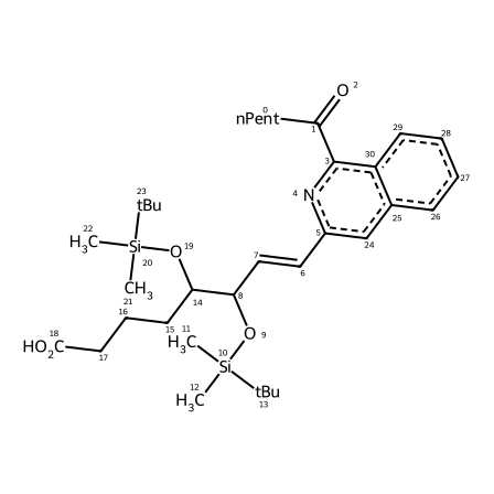 CCCCCC(=O)c1nc(/C=C/C(O[Si](C)(C)C(C)(C)C)C(CCCC(=O)O)O[Si](C)(C)C(C)(C)C)cc2ccccc12